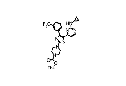 CC(C)(C)OC(=O)N1CCN(c2nc(-c3cccc(C(F)(F)F)c3)c(-c3ccnc(NC4CC4)n3)s2)CC1